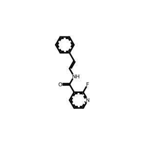 O=C(NC=Cc1ccccc1)c1cccnc1F